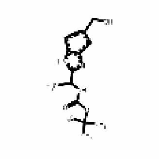 CC(NC(=O)OC(C)(C)C)c1nc2cc(CO)ccc2[nH]1